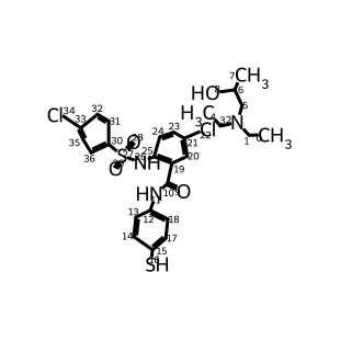 CCN(CC)CC(C)O.O=C(Nc1ccc(S)cc1)c1cc(Cl)ccc1NS(=O)(=O)c1ccc(Cl)cc1